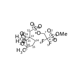 COS(=O)(=O)C(F)(F)COS(=O)(=O)CC12CCC(C)(OC1=O)C2(C)C